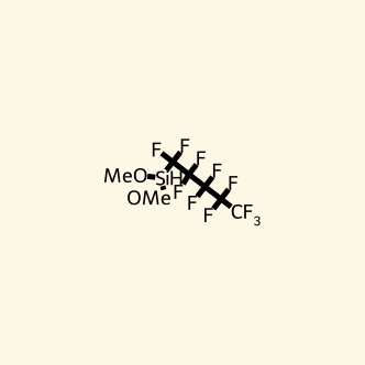 CO[SiH](OC)C(F)(F)C(F)(F)C(F)(F)C(F)(F)C(F)(F)F